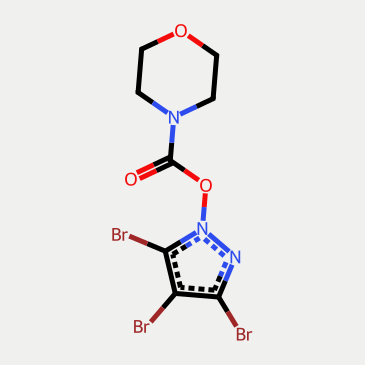 O=C(On1nc(Br)c(Br)c1Br)N1CCOCC1